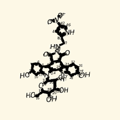 O=C1c2c(c3c4ccc(O)cc4n(C4OC(CO)C(O)C(O)C4O)c3c3[nH]c4cc(O)ccc4c23)C(=O)N1NCc1cc([N+](=O)[O-])c[nH]1